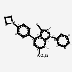 CCOC(=O)c1cc(-c2ccc(N3CCC3)cc2)c2c(C)nn(-c3ccccc3)c2n1